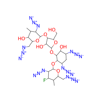 CC1C(CN=[N+]=[N-])OC(OC2C(N=[N+]=[N-])CC(N=[N+]=[N-])C(O)C2OC2OC(CO)C(OC3OC(CN=[N+]=[N-])C(O)C(C)C3N=[N+]=[N-])C2O)C(N=[N+]=[N-])C1F